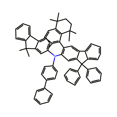 Cc1ccc2c(c1-c1cc3c(cc1N(c1ccc(-c4ccccc4)cc1)c1ccc4c(c1)C(C)(C)c1ccccc1-4)C(c1ccccc1)(c1ccccc1)c1ccccc1-3)C(C)(C)CCC2(C)C